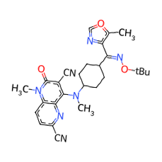 Cc1ocnc1/C(=N/OC(C)(C)C)C1CCC(N(C)c2c(C#N)c(=O)n(C)c3ccc(C#N)nc23)CC1